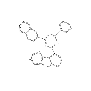 Clc1ccc2c(c1)oc1cccc(-c3nc(-c4ccccc4)nc(-c4ccc5ccccc5c4)n3)c12